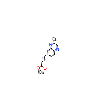 CCc1cnc2ccc(/C=C/CC(=O)OC(C)(C)C)cc2n1